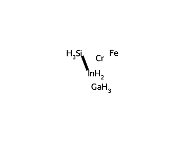 [Cr].[Fe].[GaH3].[SiH3][InH2]